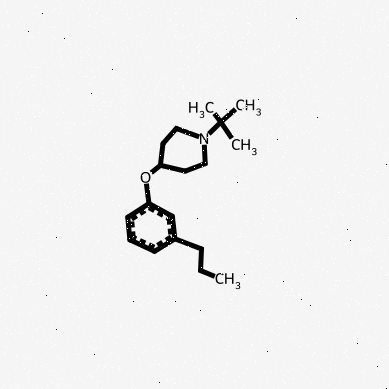 CCCc1cccc(OC2CCN(C(C)(C)C)CC2)c1